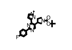 Cn1ccc(-c2nc(-c3ccc(F)cc3)ncc2C2CCN(C(=O)OC(C)(C)C)C2)n1